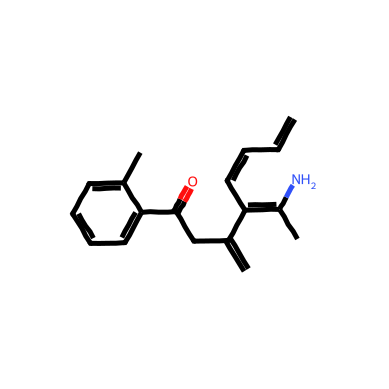 C=C/C=C\C(C(=C)CC(=O)c1ccccc1C)=C(\C)N